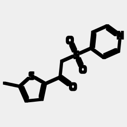 Cc1ccc(C(=O)CS(=O)(=O)c2ccncc2)s1